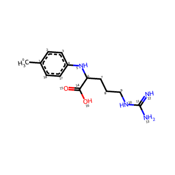 Cc1ccc(NC(CCCNC(=N)N)C(=O)O)cc1